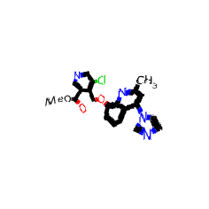 COC(=O)c1cncc(Cl)c1COc1cccc2c(-n3ccnc3)cc(C)nc12